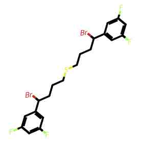 Fc1cc(F)cc(C(Br)CCCSCCCC(Br)c2cc(F)cc(F)c2)c1